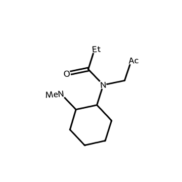 CCC(=O)N(CC(C)=O)C1CCCCC1NC